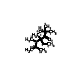 CCC(C)(C(=O)C(C)(C)C)N(C)C(C)C